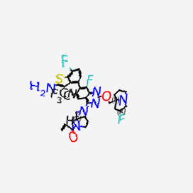 C=CC(=O)N1CCC2[C@H]1CN2c1nc(OC[C@@]23CCCN2C[C@H](F)C3)nc2c(F)c(-c3ccc(F)c4sc(N)c(C#N)c34)c(C(F)(F)F)cc12